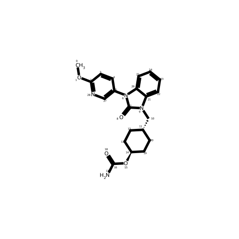 COc1ccc(-n2c(=O)n(C[C@H]3CC[C@H](OC(N)=O)CC3)c3ccccc32)cn1